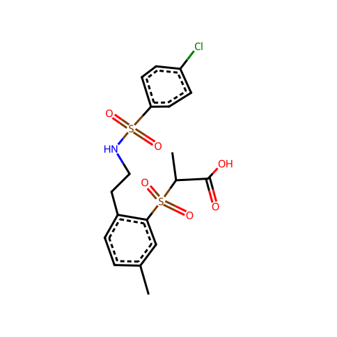 Cc1ccc(CCNS(=O)(=O)c2ccc(Cl)cc2)c(S(=O)(=O)C(C)C(=O)O)c1